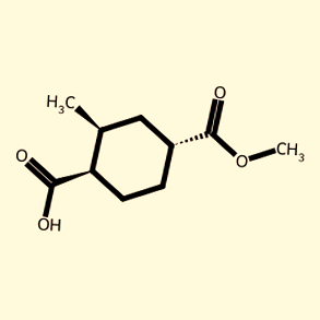 COC(=O)[C@@H]1CC[C@@H](C(=O)O)[C@@H](C)C1